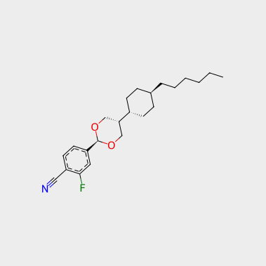 CCCCCC[C@H]1CC[C@H]([C@H]2CO[C@H](c3ccc(C#N)c(F)c3)OC2)CC1